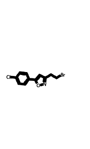 Clc1ccc(-c2cc(CCBr)no2)cc1